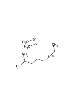 C[CH2][Sn+2][CH2]CCC(C)N.C[S-].C[S-]